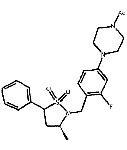 CC(=O)N1CCN(c2ccc(CN3[C@@H](C)CC(c4ccccc4)S3(=O)=O)c(F)c2)CC1